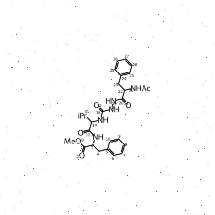 COC(=O)C(Cc1ccccc1)NC(=O)C(NC(=O)NNC(=O)C(Cc1ccccc1)NC(C)=O)C(C)C